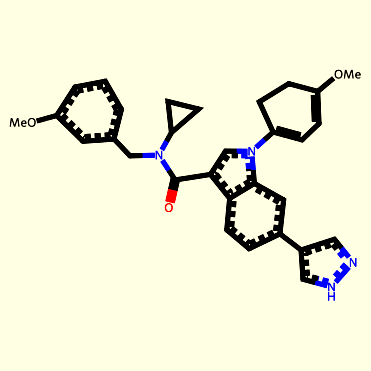 COC1=CC=C(n2cc(C(=O)N(Cc3cccc(OC)c3)C3CC3)c3ccc(-c4cn[nH]c4)cc32)CC1